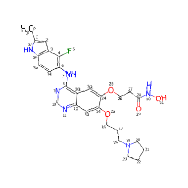 Cc1cc2c(F)c(Nc3ncnc4cc(OCCCN5CCCC5)c(OCCC(=O)NO)cc34)ccc2[nH]1